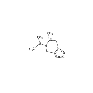 C[C@@H]1Cn2cncc2CN1N(C)C